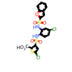 O=C(O)c1sc(Cl)cc1S(=O)(=O)Nc1ccc(Cl)cc1NS(=O)(=O)c1cc2ccccc2o1